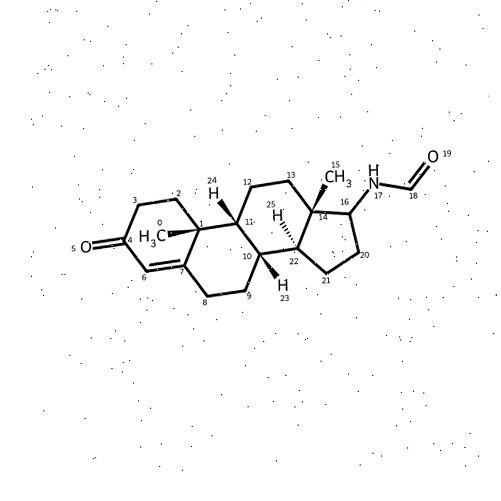 C[C@]12CCC(=O)C=C1CC[C@@H]1[C@H]2CC[C@]2(C)C(NC=O)CC[C@@H]12